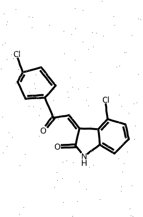 O=C1Nc2cccc(Cl)c2C1=CC(=O)c1ccc(Cl)cc1